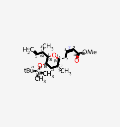 C=C[C@H](C)[C@@H]1O[C@H](C/C=C\C(=O)OC)[C@H](C)C[C@@H]1O[Si](C)(C)C(C)(C)C